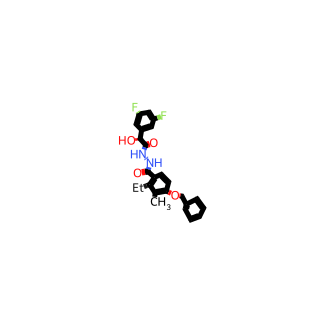 CCc1c(C(=O)NNC(=O)[C@@H](O)c2cc(F)cc(F)c2)ccc(OCc2ccccc2)c1C